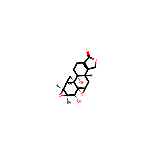 CC(C)[C@]12O[C@H]1[C@@H]1C[C@]13[C@]1(O[C@H]1C[C@H]1C4=C(CC[C@@]13O)C(=O)OC4)[C@@H]2O